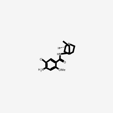 COc1cc(N)c(Cl)cc1C(=O)NC1C2CCN(CC2)[C@@H]1C